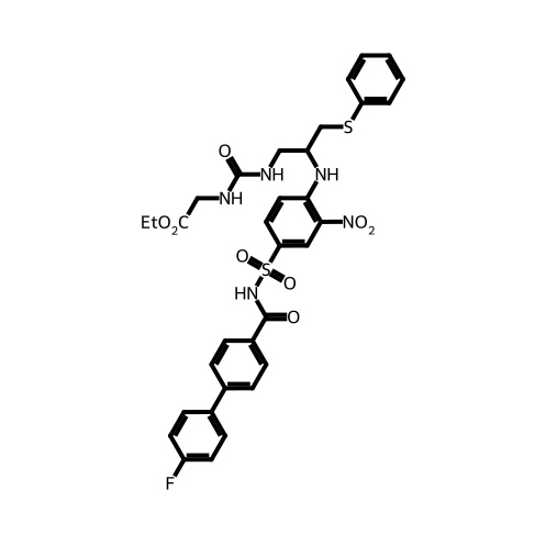 CCOC(=O)CNC(=O)NCC(CSc1ccccc1)Nc1ccc(S(=O)(=O)NC(=O)c2ccc(-c3ccc(F)cc3)cc2)cc1[N+](=O)[O-]